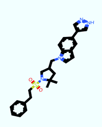 CC1(C)CC(Cn2ccc3cc(-c4cn[nH]c4)ccc32)CN1S(=O)(=O)CCc1ccccc1